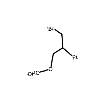 CCC(C)CC(CC)CO[C]=O